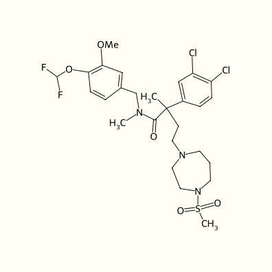 COc1cc(CN(C)C(=O)C(C)(CCN2CCCN(S(C)(=O)=O)CC2)c2ccc(Cl)c(Cl)c2)ccc1OC(F)F